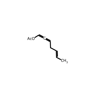 CC=CCC=C=COC(C)=O